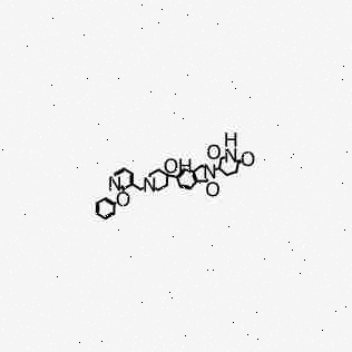 O=C1CCC(N2Cc3cc(C4(O)CCN(Cc5cccnc5Oc5ccccc5)CC4)ccc3C2=O)C(=O)N1